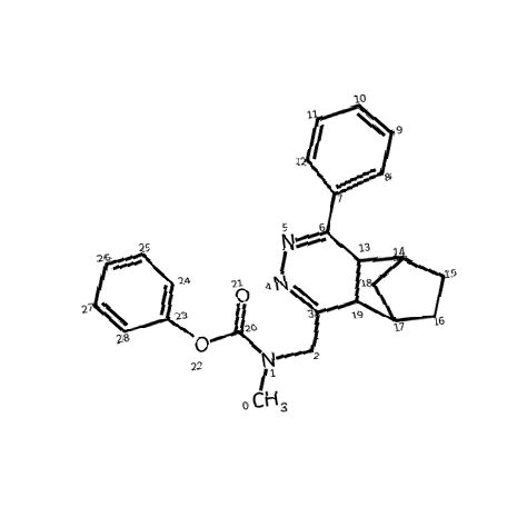 CN(CC1=NN=C(c2ccccc2)C2C3CCC(C3)C12)C(=O)Oc1ccccc1